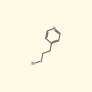 CCSCCc1ccncc1